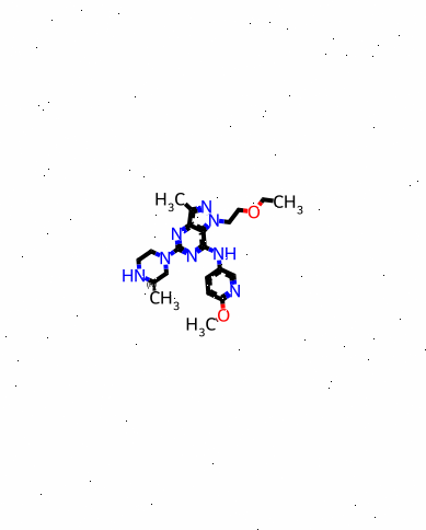 CCOCCn1nc(C)c2nc(N3CCN[C@H](C)C3)nc(Nc3ccc(OC)nc3)c21